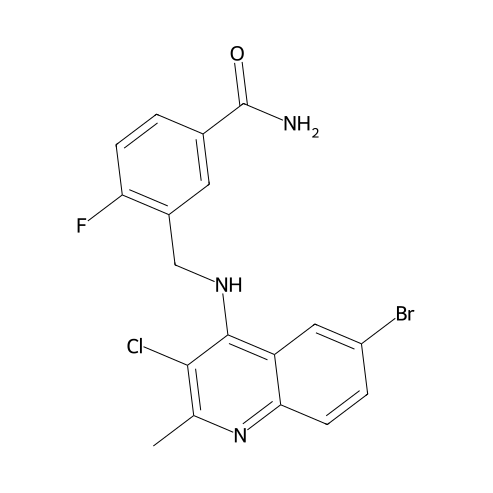 Cc1nc2ccc(Br)cc2c(NCc2cc(C(N)=O)ccc2F)c1Cl